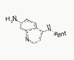 C[CH]C[C@@H](C)Nc1ccnc2cc(N)ccc12